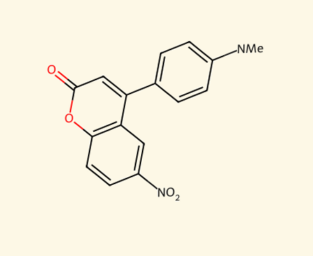 CNc1ccc(-c2cc(=O)oc3ccc([N+](=O)[O-])cc23)cc1